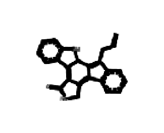 C=CCC1=C2C(=C3CNC(=O)C3=C3c4ccccc4NC23)c2ccccc21